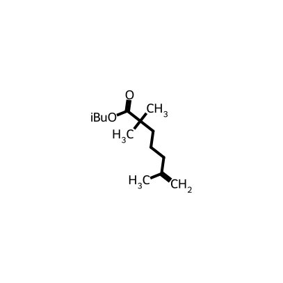 C=C(C)CCCC(C)(C)C(=O)OCC(C)C